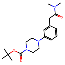 CN(C)C(=O)Cc1cccc(N2CCN(C(=O)OC(C)(C)C)CC2)c1